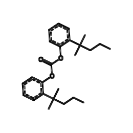 CCCC(C)(C)c1ccccc1OC(=O)Oc1ccccc1C(C)(C)CCC